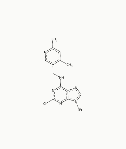 Cc1cc(C)c(CNc2nc(Cl)nc3c2ncn3C(C)C)cn1